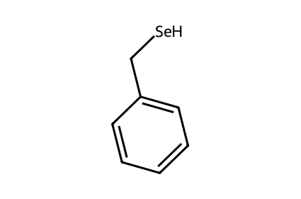 [SeH]Cc1ccccc1